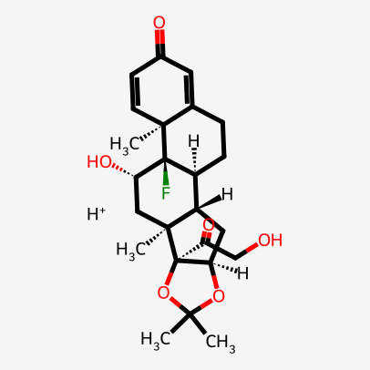 CC1(C)O[C@@H]2C[C@H]3[C@@H]4CCC5=CC(=O)C=C[C@]5(C)[C@@]4(F)[C@@H](O)C[C@]3(C)[C@]2(C(=O)CO)O1.[H+]